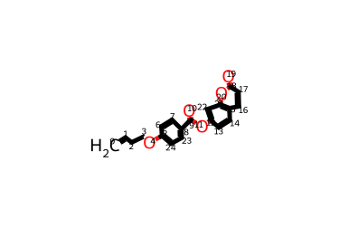 C=CCCOc1ccc(C(=O)Oc2ccc3ccc(=O)oc3c2)cc1